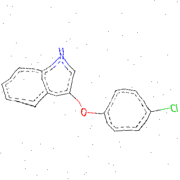 Clc1ccc(Oc2c[nH]c3ccccc23)cc1